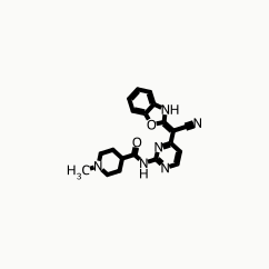 CN1CCC(C(=O)Nc2nccc(/C(C#N)=C3/Nc4ccccc4O3)n2)CC1